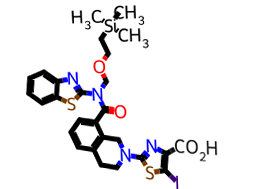 C[Si](C)(C)CCOCN(C(=O)c1cccc2c1CN(c1nc(C(=O)O)c(I)s1)CC2)c1nc2ccccc2s1